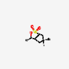 CCC1OS(=O)(=O)C2CC(C)(C(C)C)CC12